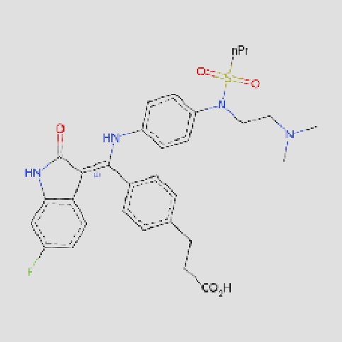 CCCS(=O)(=O)N(CCN(C)C)c1ccc(N/C(=C2\C(=O)Nc3cc(F)ccc32)c2ccc(CCC(=O)O)cc2)cc1